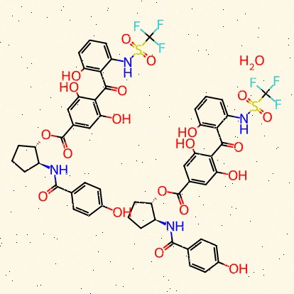 O.O=C(N[C@H]1CCC[C@@H]1OC(=O)c1cc(O)c(C(=O)c2c(O)cccc2NS(=O)(=O)C(F)(F)F)c(O)c1)c1ccc(O)cc1.O=C(N[C@H]1CCC[C@@H]1OC(=O)c1cc(O)c(C(=O)c2c(O)cccc2NS(=O)(=O)C(F)(F)F)c(O)c1)c1ccc(O)cc1